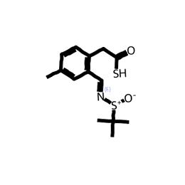 Cc1ccc(CC(=O)S)c(/C=N/[S+]([O-])C(C)(C)C)c1